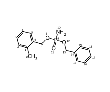 Cc1ccccc1COP(N)(=O)OCc1ccccc1